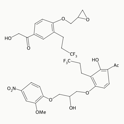 COc1cc([N+](=O)[O-])ccc1OCC(O)COc1ccc(C(C)=O)c(O)c1CCC(F)(F)F.O=C(CO)c1ccc(OCC2CO2)c(CCC(F)(F)F)c1